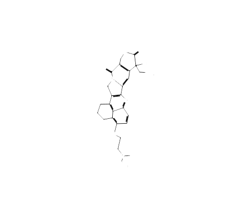 CCC1(O)C(=O)OCc2c1cc1n(c2=O)Cc2c-1nc1ccc(OCCN(C)C)c3c1c2CCC3